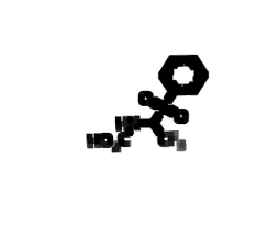 O=C(O)NC(C(F)(F)F)S(=O)(=O)c1ccccc1